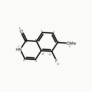 COc1ccc2c(=O)[nH]ccc2c1F